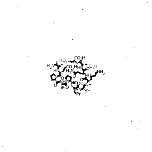 CC(C)C[C@H](NC(=O)[C@@H]1CCCN1C(=O)[C@@H](NC(=O)[C@@H]1CCCN1C(=O)[C@H](CCC(=O)O)NC(=O)[C@H](C)N)C(C)C)C(=O)N[C@H](C(=O)N[C@@H](CCCCN)C(=O)N[C@@H](CCC(N)=O)C(=O)N[C@@H](CC(=O)O)C(=O)N[C@@H](CC(=O)O)C(=O)O)C(C)C